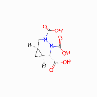 O=C(O)[C@@H]1[C@H]2C[C@H]2CN(C(=O)O)N1C(=O)O